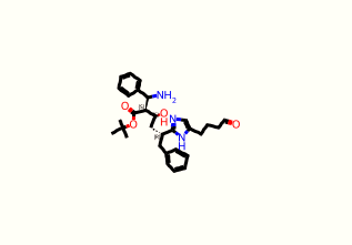 CC(C)(C)OC(=O)[C@@H](C(N)c1ccccc1)[C@@H](O)C[C@@H](Cc1ccccc1)c1ncc(CCCC=O)[nH]1